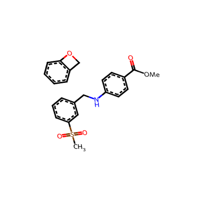 COC(=O)c1ccc(NCc2cccc(S(C)(=O)=O)c2)cc1.c1ccc2c(c1)CO2